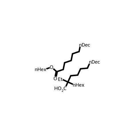 CCCCCCCCCCCCCCC(CC)(CCCCCC)C(=O)O.CCCCCCCCCCCCCCCC(=O)OCCCCCC